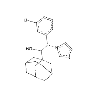 OC(C(c1cccc(Cl)c1)n1ccnc1)C12CC3CC(CC(C3)C1)C2